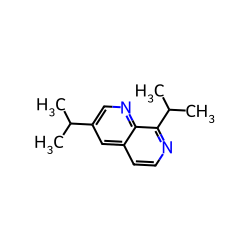 CC(C)c1cnc2c(C(C)C)nccc2c1